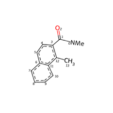 CNC(=O)c1ccc2ccccc2c1C